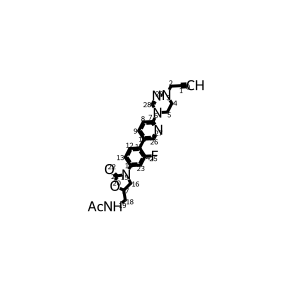 C#CCN1CCN(c2ccc(-c3ccc(N4CC(CNC(C)=O)OC4=O)cc3F)cn2)C=N1